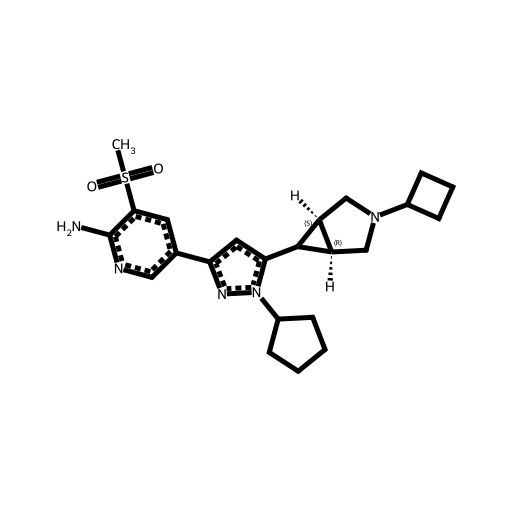 CS(=O)(=O)c1cc(-c2cc(C3[C@H]4CN(C5CCC5)C[C@@H]34)n(C3CCCC3)n2)cnc1N